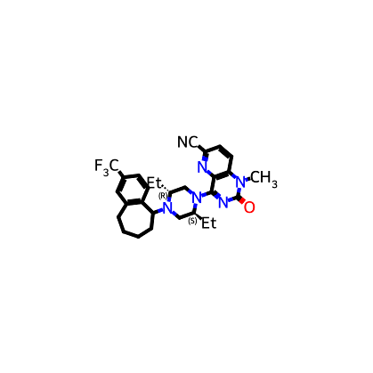 CC[C@H]1CN(C2CCCCc3cc(C(F)(F)F)ccc32)[C@H](CC)CN1c1nc(=O)n(C)c2ccc(C#N)nc12